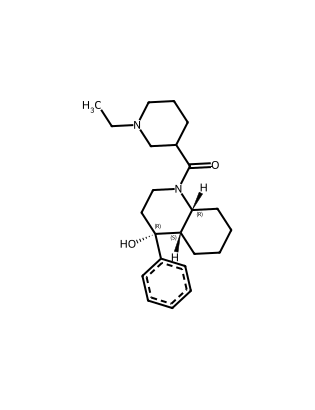 CCN1CCCC(C(=O)N2CC[C@](O)(c3ccccc3)[C@H]3CCCC[C@H]32)C1